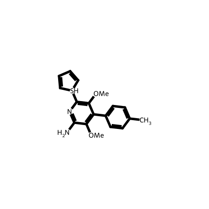 COc1c(N)nc([SH]2C=CC=C2)c(OC)c1-c1ccc(C)cc1